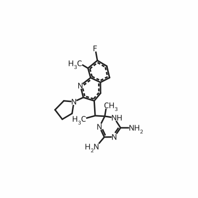 Cc1c(F)ccc2cc(C(C)C3(C)N=C(N)N=C(N)N3)c(N3CCCC3)nc12